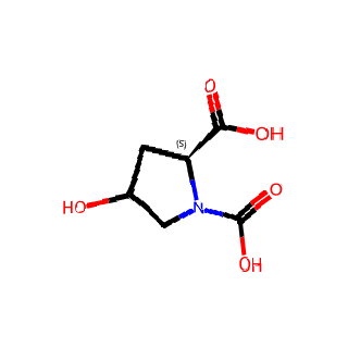 O=C(O)[C@@H]1CC(O)CN1C(=O)O